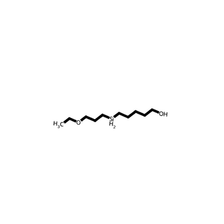 CCOCCC[SiH2]CCCCCO